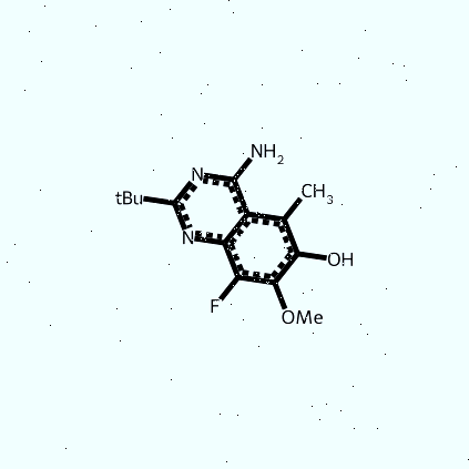 COc1c(O)c(C)c2c(N)nc(C(C)(C)C)nc2c1F